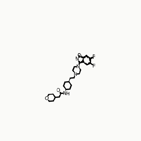 O=C(CC1CCOCC1)N[C@H]1CC[C@H](CCN2CCN(c3noc4cc(F)c(F)cc34)CC2)CC1